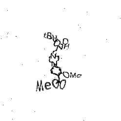 COC(=O)c1ccc(N2CCN(CNC(=O)OC(C)(C)C)CC2)cc1OC